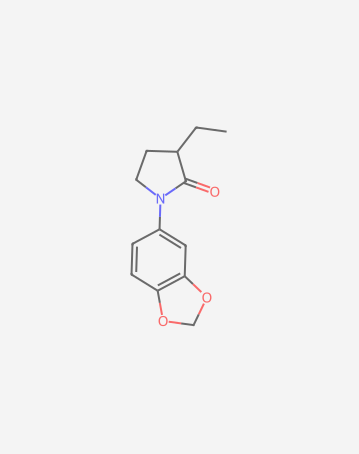 CCC1CCN(c2ccc3c(c2)OCO3)C1=O